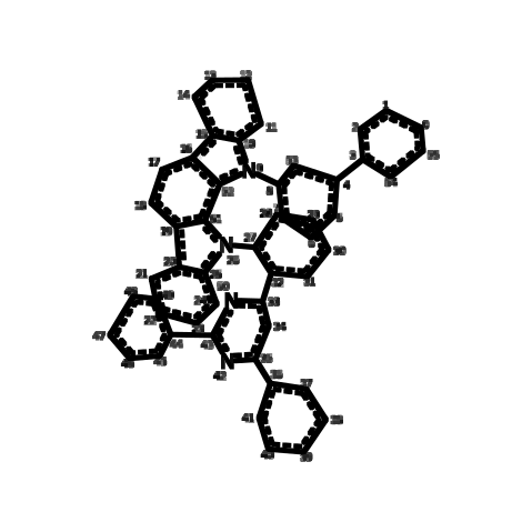 c1ccc(-c2cccc(-n3c4ccccc4c4ccc5c6ccccc6n(-c6ccccc6-c6cc(-c7ccccc7)nc(-c7ccccc7)n6)c5c43)c2)cc1